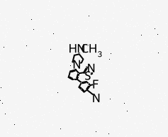 CNC1CCN(c2cccc(-c3ccc(C#N)c(F)c3)c2-c2cncs2)CC1